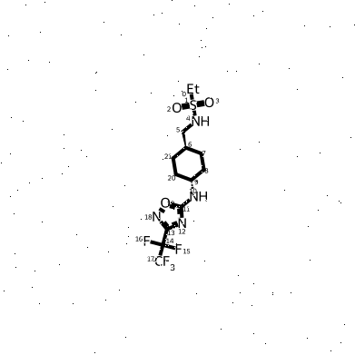 CCS(=O)(=O)NC[C@H]1CC[C@H](Nc2nc(C(F)(F)C(F)(F)F)no2)CC1